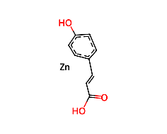 O=C(O)/C=C/c1ccc(O)cc1.[Zn]